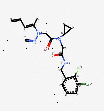 C=C/C=C(\C)N(CC(=O)N(CC(=O)NCc1cccc(Cl)c1F)C1CC1)N=C